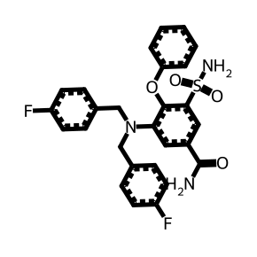 NC(=O)c1cc(N(Cc2ccc(F)cc2)Cc2ccc(F)cc2)c(Oc2ccccc2)c(S(N)(=O)=O)c1